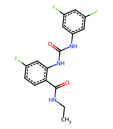 CCNC(=O)c1ccc(F)cc1NC(=O)Nc1cc(F)cc(F)c1